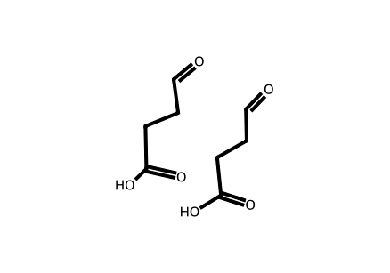 O=CCCC(=O)O.O=CCCC(=O)O